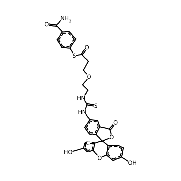 NC(=O)c1ccc(SC(=O)CCOCCNC(=S)Nc2ccc3c(c2)C(=O)OC32c3ccc(O)cc3Oc3cc(O)ccc32)cc1